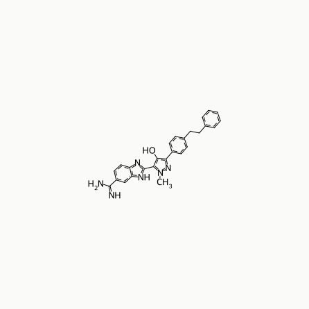 Cn1nc(-c2ccc(CCc3ccccc3)cc2)c(O)c1-c1nc2ccc(C(=N)N)cc2[nH]1